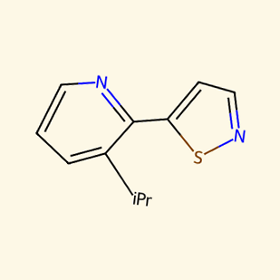 CC(C)c1cccnc1-c1ccns1